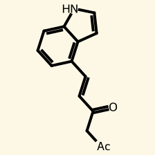 CC(=O)CC(=O)C=Cc1cccc2[nH]ccc12